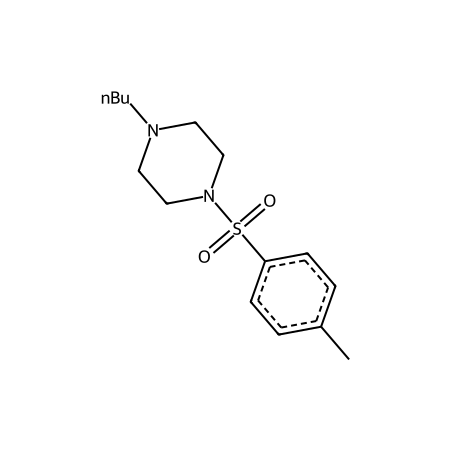 CCCCN1CCN(S(=O)(=O)c2ccc(C)cc2)CC1